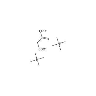 C=C(CC(=O)[O-])C(=O)[O-].C[N+](C)(C)C.C[N+](C)(C)C